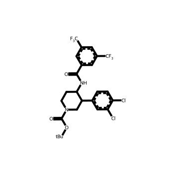 CC(C)(C)OC(=O)N1CCC(NC(=O)c2cc(C(F)(F)F)cc(C(F)(F)F)c2)C(c2ccc(Cl)c(Cl)c2)C1